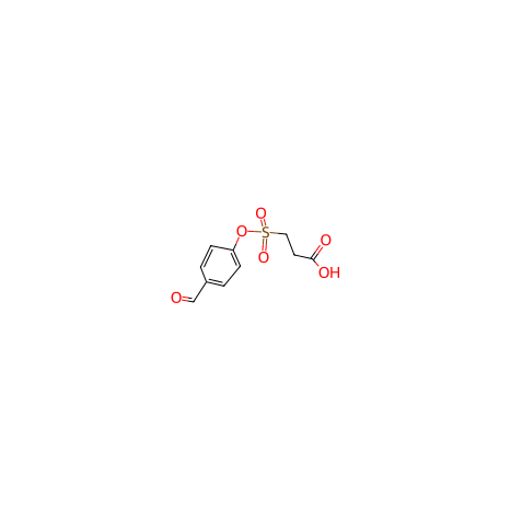 O=Cc1ccc(OS(=O)(=O)CCC(=O)O)cc1